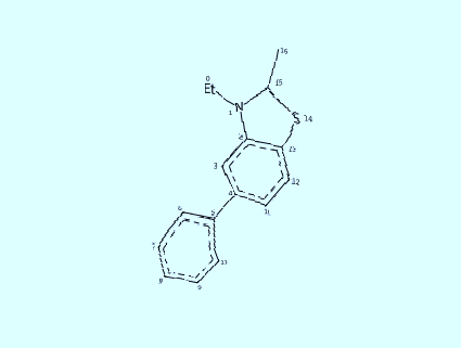 CCN1c2cc(-c3ccccc3)ccc2SC1C